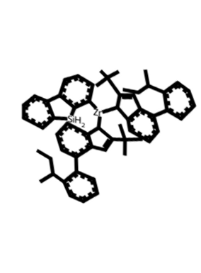 CCC(C)c1ccccc1-c1cccc2c1C=C(C(C)(C)C)[CH]2[Zr]([c]1cccc2c1[SiH2]c1ccccc1-2)[CH]1C(C(C)(C)C)=Cc2c(-c3ccccc3C(C)CC)cccc21